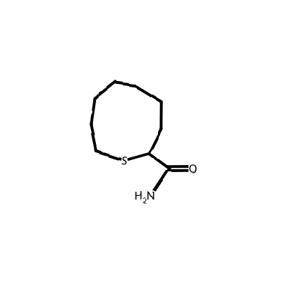 NC(=O)C1CCCCCCCS1